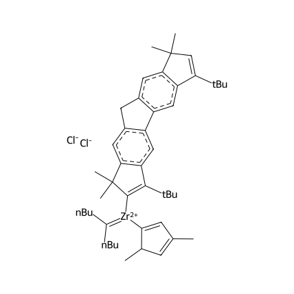 CCCC[C](CCCC)=[Zr+2]([C]1=CC(C)=CC1C)[C]1=C(C(C)(C)C)c2cc3c(cc2C1(C)C)Cc1cc2c(cc1-3)C(C(C)(C)C)=CC2(C)C.[Cl-].[Cl-]